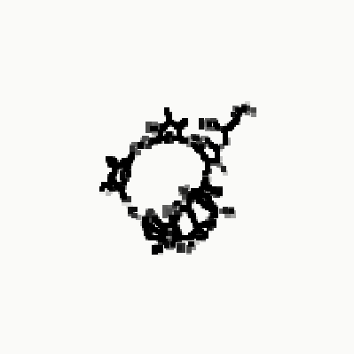 C=C1C[C@@H]2CC[C@@]34C[C@H]5O[C@H]6[C@@H](O3)[C@H]3O[C@H](CC[C@@H]3O[C@H]6[C@H]5O4)CC(=O)CC3[C@H](CC4O[C@@H](CCC1O2)C[C@@H](C)C4=C)O[C@H](C[C@H](O)CN)[C@@H]3C